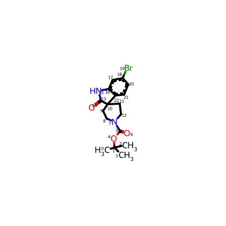 CC(C)(C)OC(=O)N1CCC2(CC1)C(=O)Nc1cc(Br)ccc12